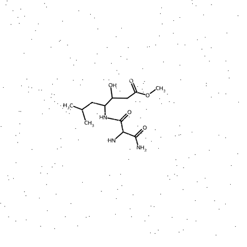 COC(=O)CC(O)C(CC(C)C)NC(=O)C([NH])C(N)=O